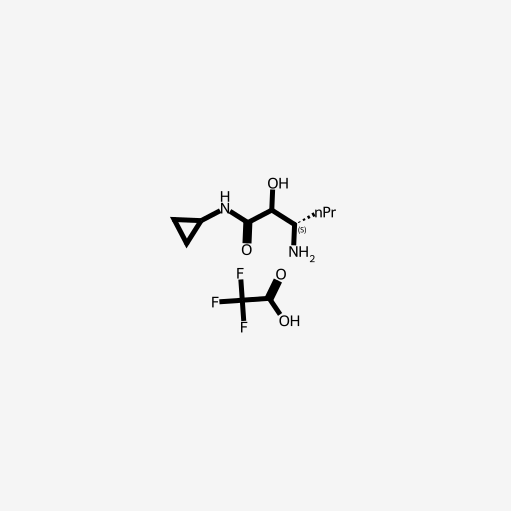 CCC[C@H](N)C(O)C(=O)NC1CC1.O=C(O)C(F)(F)F